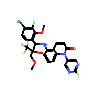 COCC(O)(C(Nc1cccc2c1ccc(=O)n2-c1cnc(F)nc1)c1ccc(Cl)c(F)c1OC)C(F)(F)F